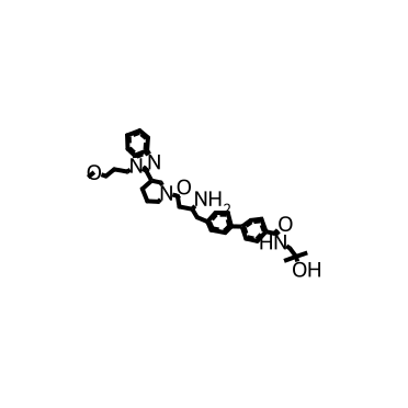 COCCCn1c(C2CCCN(C(=O)CC(N)Cc3ccc(-c4ccc(C(=O)NCC(C)(C)O)cc4)cc3)C2)nc2ccccc21